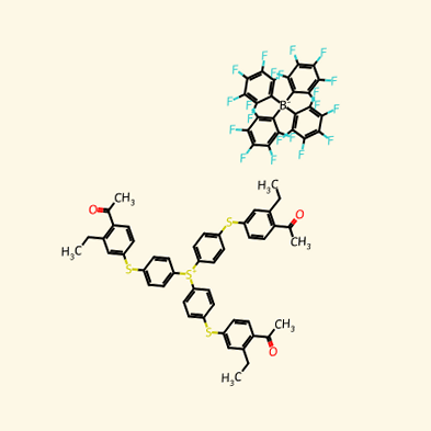 CCc1cc(Sc2ccc([S+](c3ccc(Sc4ccc(C(C)=O)c(CC)c4)cc3)c3ccc(Sc4ccc(C(C)=O)c(CC)c4)cc3)cc2)ccc1C(C)=O.Fc1c(F)c(F)c([B-](c2c(F)c(F)c(F)c(F)c2F)(c2c(F)c(F)c(F)c(F)c2F)c2c(F)c(F)c(F)c(F)c2F)c(F)c1F